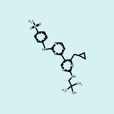 CC(C)(O)CNc1ncc(-c2ccnc(Nc3ccc(S(C)(=O)=O)cc3)n2)c(CC2CC2)n1